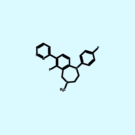 CN1CCN(c2ccc(F)cc2)c2ccc(-c3cccnn3)c(F)c2C1